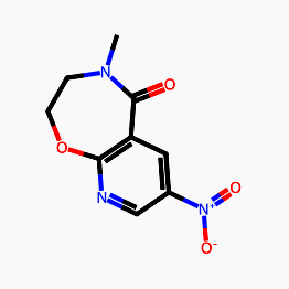 CN1CCOc2ncc([N+](=O)[O-])cc2C1=O